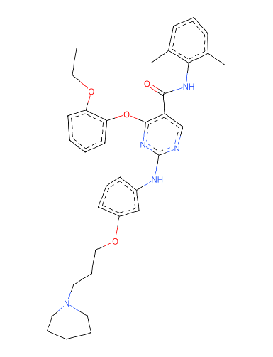 CCOc1ccccc1Oc1nc(Nc2cccc(OCCCN3CCCCC3)c2)ncc1C(=O)Nc1c(C)cccc1C